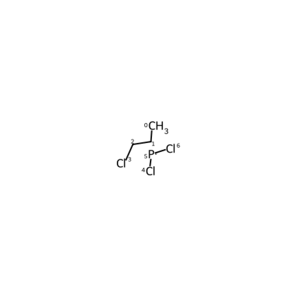 CCCCl.Cl[P]Cl